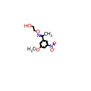 COc1cc(C(C)=NOCCO)cc([N+](=O)[O-])c1